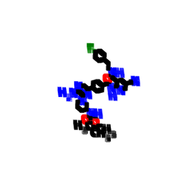 CC(C)(C)OC(=O)N[C@@H]1CCCN(c2nc(-c3ccc(CNc4ncc(C#N)cc4C(=O)NCCc4ccc(F)cc4)cc3)cnc2N)C1